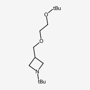 CC(C)(C)OCCOCC1CN(C(C)(C)C)C1